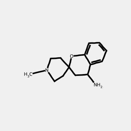 CN1CCC2(CC1)CC(N)c1ccccc1O2